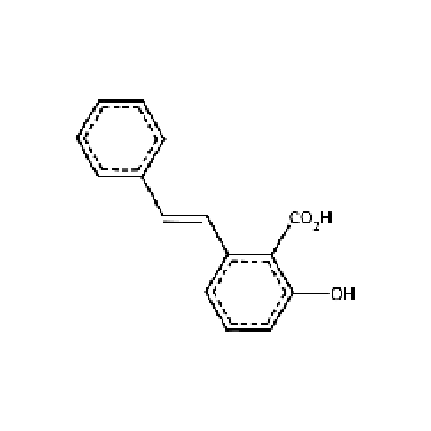 O=C(O)c1c(O)cccc1C=Cc1ccccc1